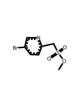 COS(=O)(=O)Cc1ccc(Br)cn1